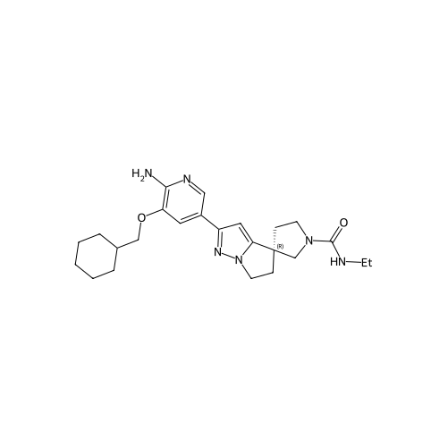 CCNC(=O)N1CC[C@@]2(CCn3nc(-c4cnc(N)c(OCC5CCCCC5)c4)cc32)C1